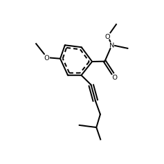 COc1ccc(C(=O)N(C)OC)c(C#CCC(C)C)c1